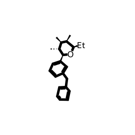 CC[C@H]1O[C@@H](c2cccc(Cc3ccccc3)c2)[C@H](C)[C@@H](C)[C@H]1C